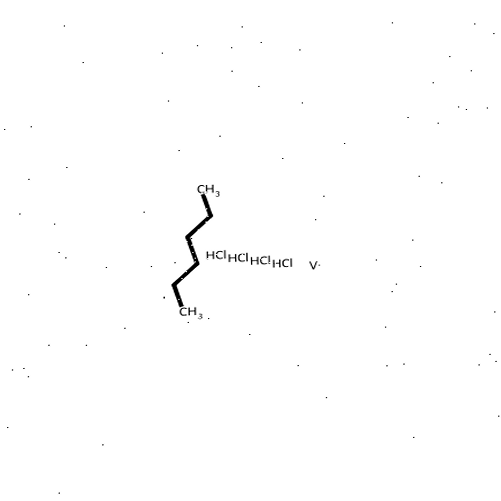 CCCCCC.Cl.Cl.Cl.Cl.[V]